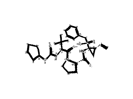 C=C[C@@H]1C[C@]1(NC(=O)[C@@H]1CCCN1C(=O)[C@@H](NC(=O)OC1CCCC1)C(C)(C)C)P(=O)(O)Cc1ccccc1